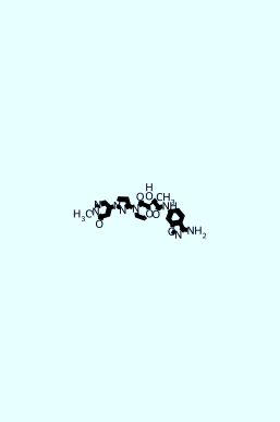 Cn1ncc(-n2ccc(N3CCO[C@H](C(C)(O)C(=O)Nc4ccc5c(N)noc5c4)C3=O)n2)cc1=O